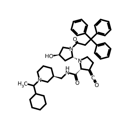 CC(C1CCCCC1)N1CCC[C@@H](CNC(=O)[C@H]2C(=C=O)CCN2[C@@H]2C[C@@H](O)CN2C(=O)CC(c2ccccc2)(c2ccccc2)c2ccccc2)C1